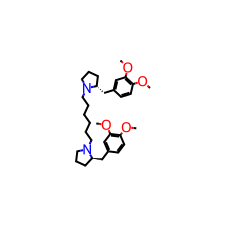 COc1ccc(C[C@H]2CCCN2CCCCCCN2CCC[C@@H]2Cc2ccc(OC)c(OC)c2)cc1OC